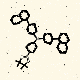 CC1(C)OB(c2ccc(N(c3ccc(-c4cccc5ccccc45)cc3)c3ccc(-c4cccc5ccccc45)cc3)cc2)OC1(C)C